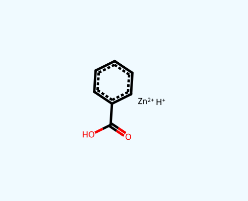 O=C(O)c1ccccc1.[H+].[Zn+2]